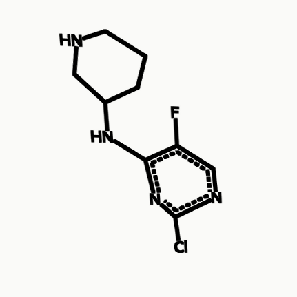 Fc1cnc(Cl)nc1NC1CCCNC1